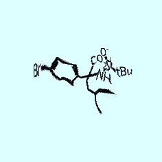 C=C(C)CC(N[S@@+]([O-])C(C)(C)C)(C(=O)O)c1ccc(Br)cc1